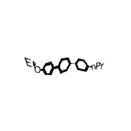 CCC[C@H]1CC[C@H](C2CCC(c3ccc(OCC)cc3)CC2)CC1